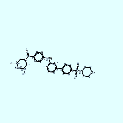 C[C@@H]1CN(C(=O)c2ccc(Nc3nccc(-c4ccc(S(=O)(=O)N5CCOCC5)cc4)n3)cc2)C[C@H](C)N1